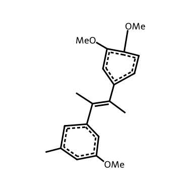 COc1cc(C)cc(/C(C)=C(\C)c2ccc(OC)c(OC)c2)c1